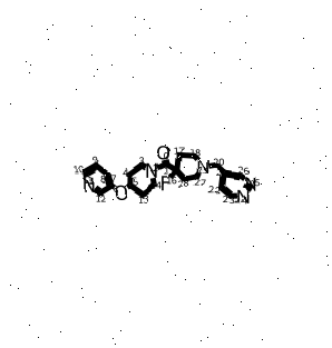 O=C(N1CCC(Oc2cccnc2)CC1)C1(F)CCN(Cc2ccnnc2)CC1